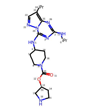 CC(C)Nc1nc(NC2CCN(C(=O)O[C@H]3CCNC3)CC2)n2ncc(C(C)C)c2n1